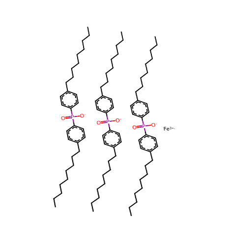 CCCCCCCCCc1ccc(P(=O)([O-])c2ccc(CCCCCCCCC)cc2)cc1.CCCCCCCCCc1ccc(P(=O)([O-])c2ccc(CCCCCCCCC)cc2)cc1.CCCCCCCCCc1ccc(P(=O)([O-])c2ccc(CCCCCCCCC)cc2)cc1.[Fe+3]